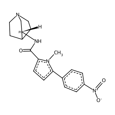 Cn1c(C(=O)N[C@H]2CN3CCC2CC3)ccc1-c1ccc([N+](=O)[O-])cc1